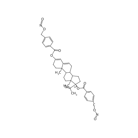 CC(=O)[C@@]1(OC(=O)c2ccc(CON=O)cc2)CCC2C3CC=C4C=C(OC(=O)c5ccc(CON=O)cc5)CCC4(C)C3CCC21C